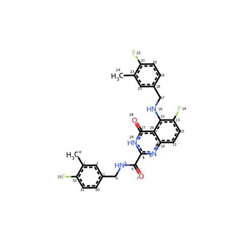 Cc1cc(CNC(=O)c2nc3ccc(F)c(NCc4ccc(F)c(C)c4)c3c(=O)[nH]2)ccc1F